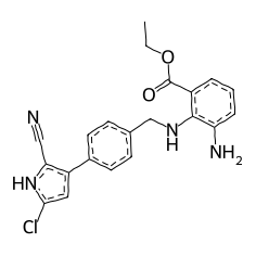 CCOC(=O)c1cccc(N)c1NCc1ccc(-c2cc(Cl)[nH]c2C#N)cc1